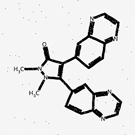 Cn1c(-c2ccc3nccnc3c2)c(-c2ccc3nccnc3c2)c(=O)n1C